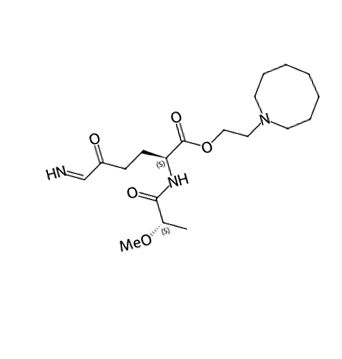 CO[C@@H](C)C(=O)N[C@@H](CCC(=O)C=N)C(=O)OCCN1CCCCCCC1